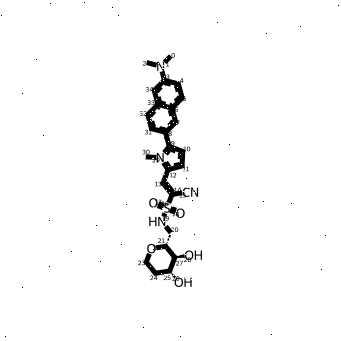 CN(C)c1ccc2cc(-c3ccc(/C=C(\C#N)S(=O)(=O)NC[C@H]4OCC[C@@H](O)[C@@H]4O)n3C)ccc2c1